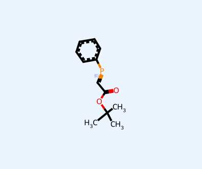 CC(C)(C)OC(=O)/C=P/c1ccccc1